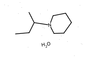 CCC(C)N1CCCCC1.O